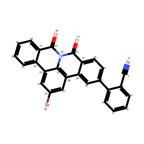 N#Cc1ccccc1-c1ccc2c(=O)n3c(=O)c4ccccc4c4cc(Br)cc(c2c1)c43